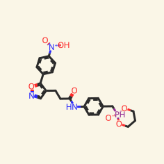 O=C(CCc1cnoc1-c1ccc([N+](=O)O)cc1)Nc1ccc(C[PH]2([O-])OCCCO2)cc1